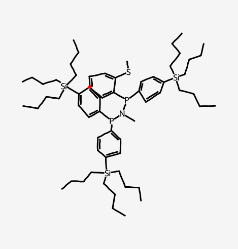 CCCC[Si](CCCC)(CCCC)c1ccc(P(c2ccc([Si](CCCC)(CCCC)CCCC)cc2)N(C)P(c2ccc([Si](CCCC)(CCCC)CCCC)cc2)c2ccccc2SC)cc1